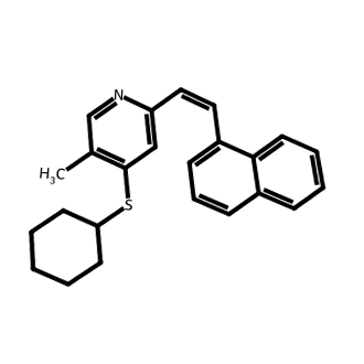 Cc1cnc(/C=C\c2cccc3ccccc23)cc1SC1CCCCC1